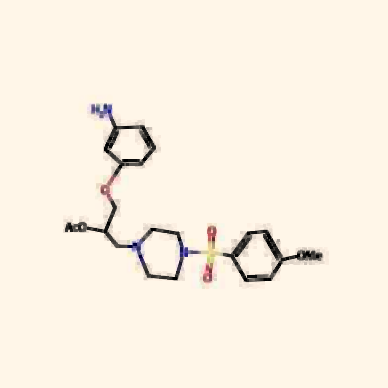 COc1ccc(S(=O)(=O)N2CCN(CC(COc3cccc(N)c3)OC(C)=O)CC2)cc1